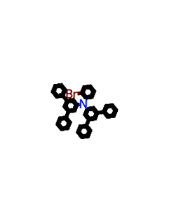 Brc1ccccc1N(c1cc(-c2ccccc2)cc(-c2ccccc2)c1)c1cc(-c2ccccc2)cc(-c2ccccc2)c1